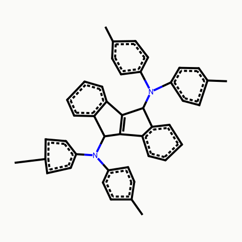 Cc1ccc(N(c2ccc(C)cc2)C2C3=C(c4ccccc42)C(N(c2ccc(C)cc2)c2ccc(C)cc2)c2ccccc23)cc1